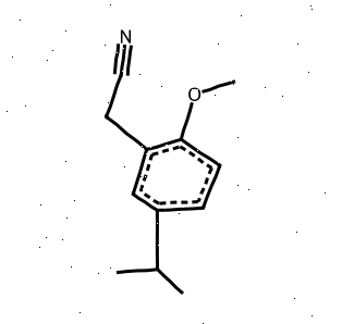 COc1ccc(C(C)C)cc1CC#N